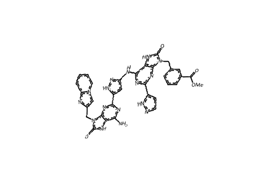 COC(=O)c1cccc(Cn2c(=O)[nH]c3c(Nc4cc(-c5nc(N)c6[nH]c(=O)n(Cc7cn8ccccc8n7)c6n5)[nH]n4)nc(-c4ccn[nH]4)nc32)c1